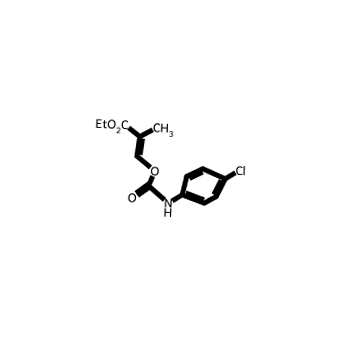 CCOC(=O)C(C)=COC(=O)Nc1ccc(Cl)cc1